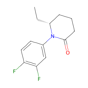 CC[C@@H]1CCCC(=O)N1c1ccc(F)c(F)c1